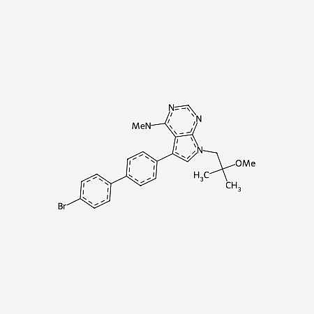 CNc1ncnc2c1c(-c1ccc(-c3ccc(Br)cc3)cc1)cn2CC(C)(C)OC